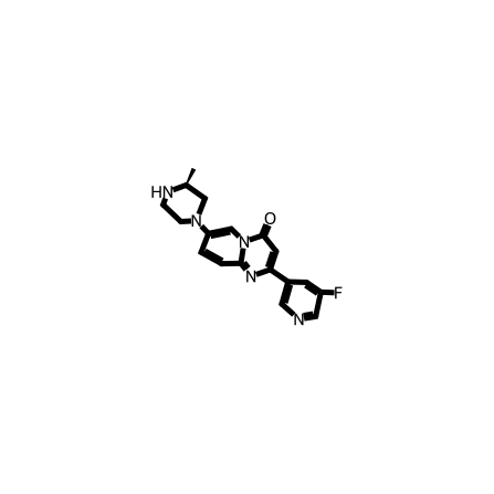 C[C@H]1CN(c2ccc3nc(-c4cncc(F)c4)cc(=O)n3c2)CCN1